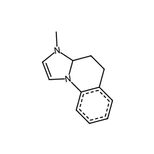 CN1C=CN2c3ccccc3CCC12